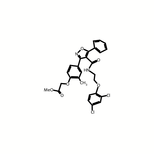 COC(=O)COc1ccc(-c2noc(-c3ccccc3)c2C(=O)NCCOc2ccc(Cl)cc2Cl)cc1C